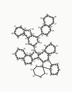 c1ccc2c(c1)-c1c(c3c4ccc5ccccc5c4n(-c4nc(-c5ccc6ccccc6c5)c5sc6ccccc6c5n4)c3c3ccccc13)C21CCCCC1